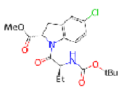 CC[C@H](NC(=O)OC(C)(C)C)C(=O)N1c2ccc(Cl)cc2C[C@H]1C(=O)OC